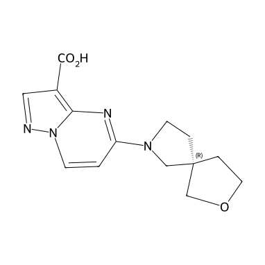 O=C(O)c1cnn2ccc(N3CC[C@@]4(CCOC4)C3)nc12